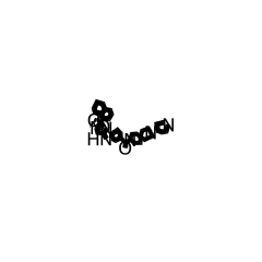 CN(Cc1nc2ccc(C(=O)N3CCC4(CC3)CCN(c3ccncc3)CC4)cc2[nH]1)S(=O)(=O)c1cccc2ccccc12